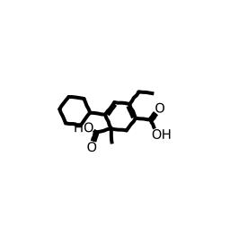 CCC1=C(C(=O)O)CC(C)(C(=O)O)C(C2CCCCC2)=C1